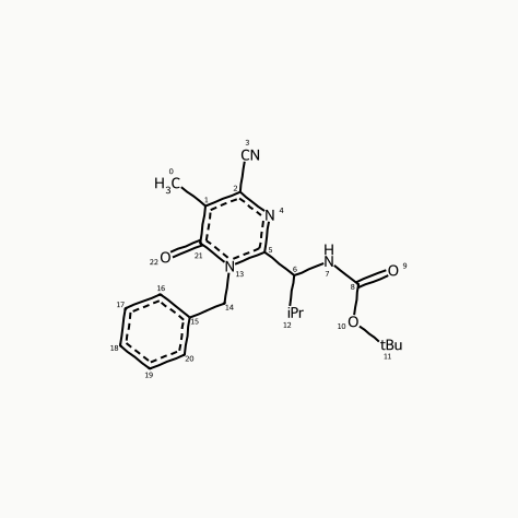 Cc1c(C#N)nc(C(NC(=O)OC(C)(C)C)C(C)C)n(Cc2ccccc2)c1=O